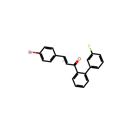 O=C(/C=C/c1ccc(Br)cc1)c1ccccc1-c1cccc(F)c1